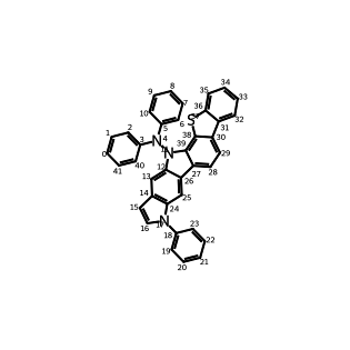 c1ccc(N(c2ccccc2)n2c3cc4ccn(-c5ccccc5)c4cc3c3ccc4c5ccccc5sc4c32)cc1